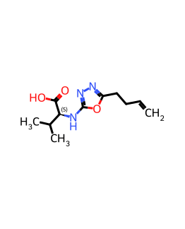 C=CCCc1nnc(N[C@H](C(=O)O)C(C)C)o1